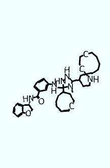 CN1C(C2CCNC3(CCCCCCCCC3)C2)NNC1(CNc1cccc(C(=O)N[C@H]2COc3ccccc32)c1)C1CCCCCCCC1